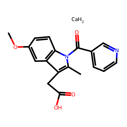 COc1ccc2c(c1)c(CC(=O)O)c(C)n2C(=O)c1cccnc1.[CaH2]